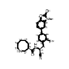 Cn1c(=O)oc2ccc(-c3ccc(C[C@@H](C#N)NC(=O)[C@@H]4CCCCCNC4)c(F)c3)cc21